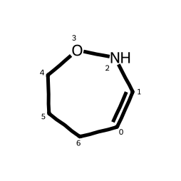 C1=CNOCCC1